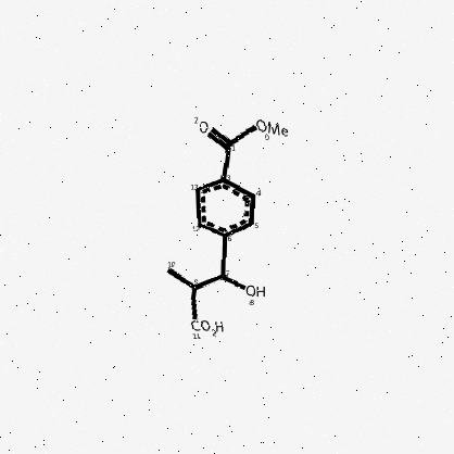 COC(=O)c1ccc(C(O)C(C)C(=O)O)cc1